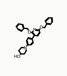 OC1CCN(c2ccc(-c3ccc(OCc4ccccc4)nc3OCc3ccccc3)cc2)CC1